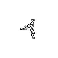 CNS(=O)(=O)c1ccc(N2CCCC(O)C2)c(C(=O)N2CCN(c3ccc(C(C)=O)cc3F)CC2)c1